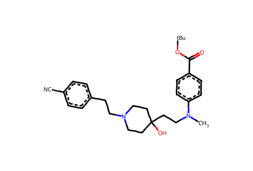 CN(CCC1(O)CCN(CCc2ccc(C#N)cc2)CC1)c1ccc(C(=O)OC(C)(C)C)cc1